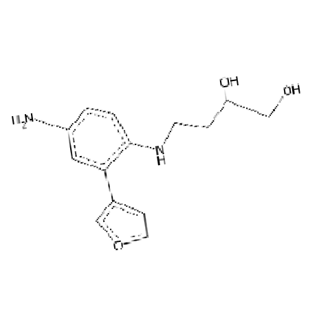 Nc1ccc(NCCC(O)CO)c(-c2ccoc2)c1